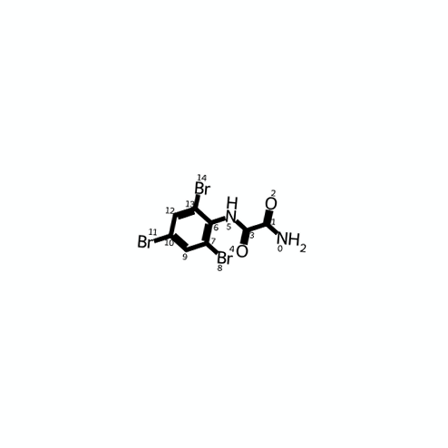 NC(=O)C(=O)Nc1c(Br)cc(Br)cc1Br